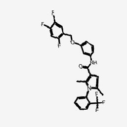 Cc1cc(C(=O)Nc2cccc(OCc3cc(F)c(F)cc3F)c2)c(C)n1-c1ccccc1C(F)(F)F